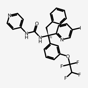 O=C(Nc1ccncc1)N[C@@](Cc1ccccc1)(c1cccc(OC(F)(F)C(F)F)c1)c1ccc(I)cn1